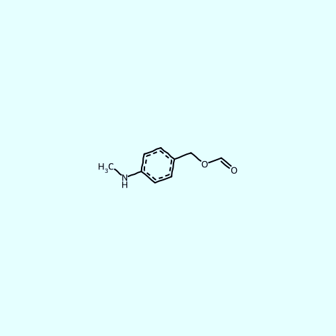 CNc1ccc(COC=O)cc1